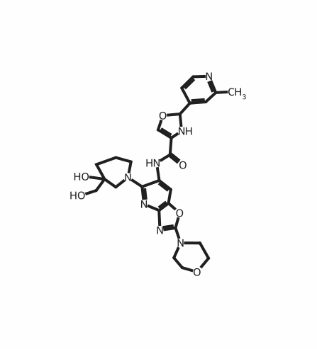 Cc1cc(C2NC(C(=O)Nc3cc4oc(N5CCOCC5)nc4nc3N3CCCC(O)(CO)C3)=CO2)ccn1